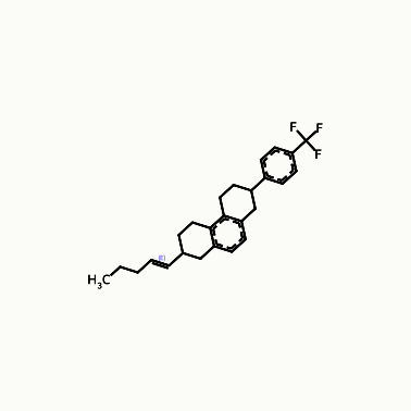 CCC/C=C/C1CCc2c(ccc3c2CCC(c2ccc(C(F)(F)F)cc2)C3)C1